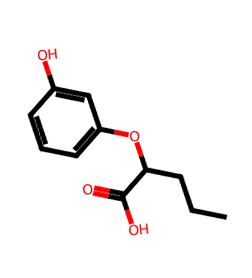 CCCC(Oc1cccc(O)c1)C(=O)O